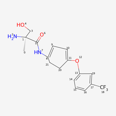 C[C@](N)(CO)C(=O)NC1=CC=C(Oc2cccc(C(F)(F)F)c2)CC1